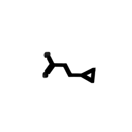 [O]C(=O)CCC1CC1